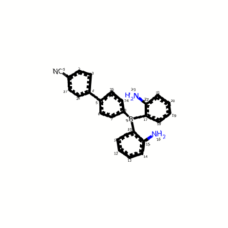 N#Cc1ccc(-c2ccc(B(c3ccccc3N)c3ccccc3N)cc2)cc1